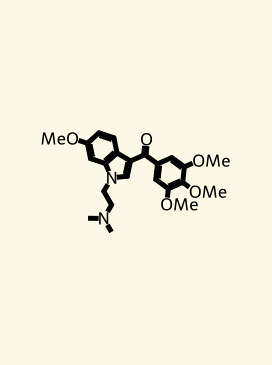 COc1ccc2c(C(=O)c3cc(OC)c(OC)c(OC)c3)cn(CCN(C)C)c2c1